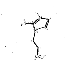 CCOC(=O)CCn1ccnc1O